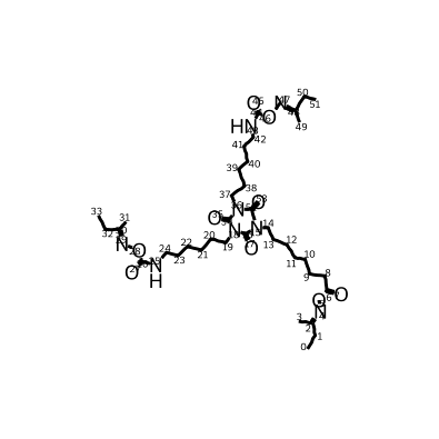 CC/C(C)=N/OC(=O)CCCCCCCn1c(=O)n(CCCCCCNC(=O)O/N=C(\C)CC)c(=O)n(CCCCCCNC(=O)O/N=C(\C)CC)c1=O